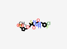 CS(=O)(=O)CC1CCC(COCc2csc3nc(C(=O)NCc4ccc(F)c(Cl)c4)[nH]c(=O)c23)C1